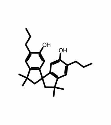 CCCc1cc2c(cc1O)C1(CC2(C)C)CC(C)(C)c2cc(CCC)c(O)cc21